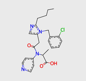 CCCCc1ncc(CC(=O)N(c2ccncc2)C(C)C(=O)O)n1Cc1ccccc1Cl